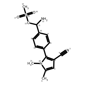 Cc1cc(C#N)c(-c2ccc(C(N)OS(C)(=O)=O)cc2)n1C